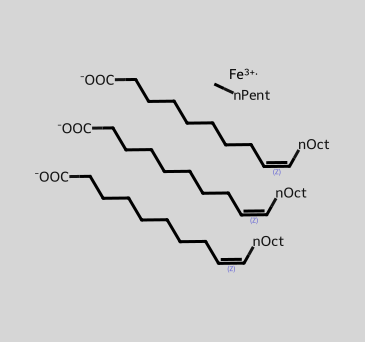 CCCCCC.CCCCCCCC/C=C\CCCCCCCC(=O)[O-].CCCCCCCC/C=C\CCCCCCCC(=O)[O-].CCCCCCCC/C=C\CCCCCCCC(=O)[O-].[Fe+3]